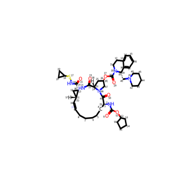 O=C(N[C@H]1CCCCC/C=C\[C@@H]2C[C@@]2(C(=O)NSC2CC2)NC(=O)[C@@H]2C[C@@H](OC(=O)N3CCc4ccccc4[C@@H]3CN3CCCCC3)CN2C1=O)OC1CCCC1